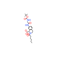 CCCCCC(=O)N1CCc2ccc(NC(=O)CNC(=O)OC(C)(C)C)cc2C1C(=O)O